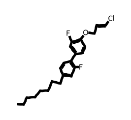 CCCCCCCCc1ccc(-c2ccc(OCC=CCl)c(F)c2)c(F)c1